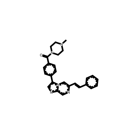 CN1CCN(C(=O)c2ccc(-c3cnc4cnc(C=Cc5ccccc5)cn34)cc2)CC1